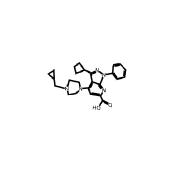 O=C(O)c1cc(N2CCN(CC3CC3)CC2)c2c(C3CCC3)nn(-c3ccccc3)c2n1